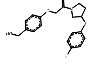 O=C(COc1ccc(CO)cc1)N1CCC(Sc2ccc(F)cc2)C1